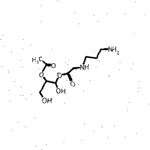 CC(=O)OC(CO)C(O)OC(=O)CNCCCN